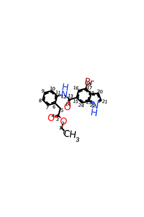 CCOC(=O)Cc1ccccc1NC(=O)c1cc(Br)c2cc[nH]c2c1